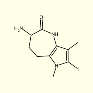 Cc1c2c(n(C)c1I)CCC(N)C(=O)N2